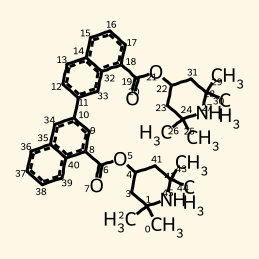 CC1(C)CC(OC(=O)c2cc(-c3ccc4cccc(C(=O)OC5CC(C)(C)NC(C)(C)C5)c4c3)cc3ccccc23)CC(C)(C)N1